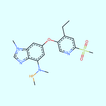 CCc1cc(S(C)(=O)=O)ncc1Oc1cc(N(C)PC)c2ncn(C)c2c1